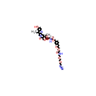 CCc1c2c(nc3ccc(O)cc13)-c1cc3c(c(=O)n1C2)COC(=O)[C@@]3(CC)OC(=O)CNC(=O)OCc1ccc(CC(=O)COCC(=O)NCCOCCOCCN=[N+]=[N-])cc1